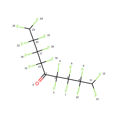 O=C(C(F)(F)C(F)(F)C(F)(F)C(F)F)C(F)(F)C(F)(F)C(F)(F)C(F)F